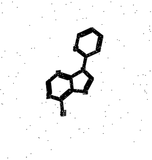 Clc1ncnc2c1ncn2C1C=CC=CO1